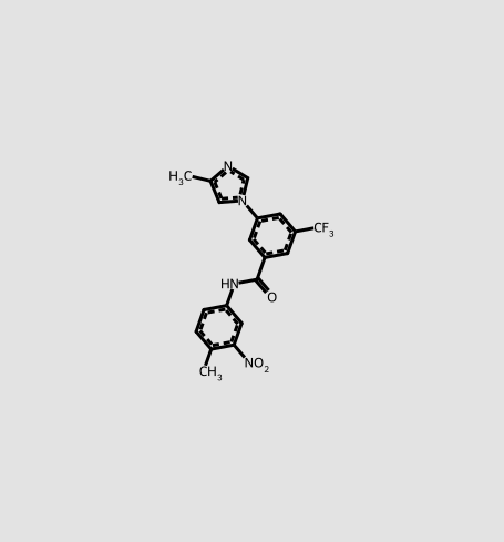 Cc1cn(-c2cc(C(=O)Nc3ccc(C)c([N+](=O)[O-])c3)cc(C(F)(F)F)c2)cn1